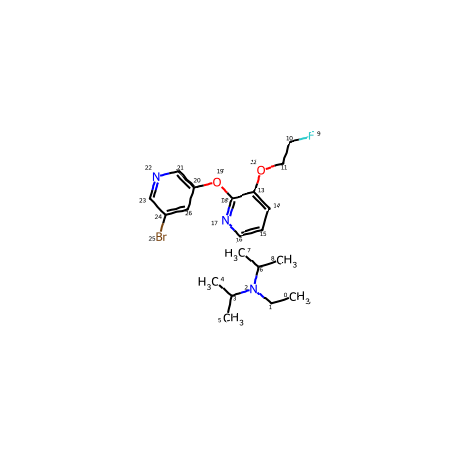 CCN(C(C)C)C(C)C.FCCOc1cccnc1Oc1cncc(Br)c1